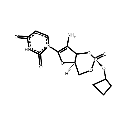 NC1=C(n2ccc(=O)[nH]c2=O)O[C@@H]2CO[P@](=O)(OC3CCC3)OC12